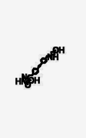 O=c1[nH]cnc(CCc2ccc(C#Cc3ccc(CNC4CC(O)C4)cc3)cc2)c1O